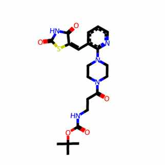 CC(C)(C)OC(=O)NCCC(=O)N1CCN(c2ncccc2C=C2SC(=O)NC2=O)CC1